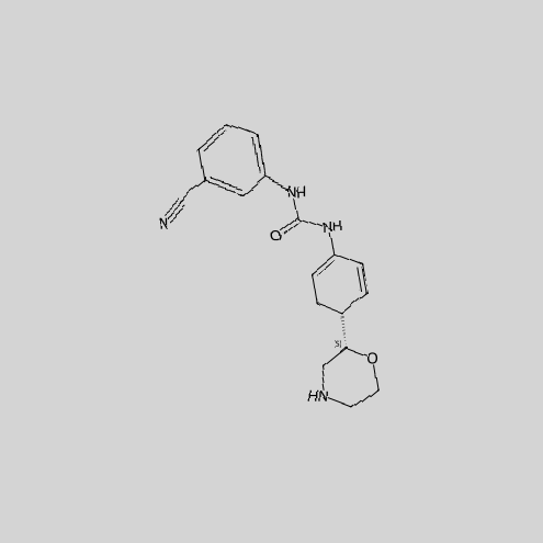 N#Cc1cccc(NC(=O)NC2=CCC([C@H]3CNCCO3)C=C2)c1